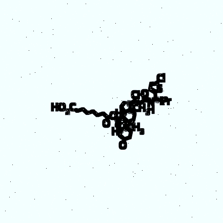 CC(C)[C@@H](NC(=O)C[C@@H](C)[C@H]1CC[C@H]2[C@@H]3[C@H](OC(=O)CCCCCCC(=O)O)C[C@@H]4CC(=O)CC[C@]4(C)[C@H]3CC[C@]12C)c1ccc(Cl)s1